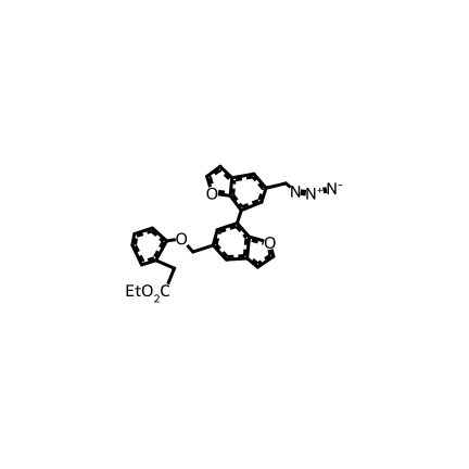 CCOC(=O)Cc1ccccc1OCc1cc(-c2cc(CN=[N+]=[N-])cc3ccoc23)c2occc2c1